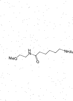 COCCNC(=O)CCCCCNC(C)=O